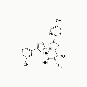 CN1C(=N)N[C@@]2(c3cc(-c4cccc(C#N)c4)cs3)CN(c3ccc(O)cn3)CC2C1=O